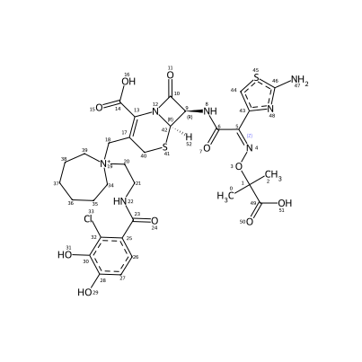 CC(C)(O/N=C(\C(=O)N[C@@H]1C(=O)N2C(C(=O)O)=C(C[N+]3(CCNC(=O)c4ccc(O)c(O)c4Cl)CCCCCC3)CS[C@H]12)c1csc(N)n1)C(=O)O